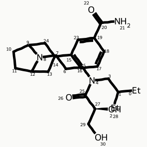 CCC(CC)CN(CCCN1C2CCC1CC(c1cccc(C(N)=O)c1)C2)C(=O)[C@@H](O)CO